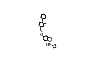 Cc1cc(CCOc2ccc3c(c2)CCC3NC2CCC2)ccc1-c1ccccc1